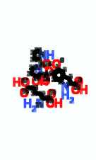 COc1cc(C[C@H](N)C(=O)O)ccc1OC(=O)[C@@H]1C(O)CCN1C(=O)[C@@H]1CCCN1.NC(CCCC(=O)O)C(=O)O